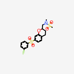 CN(CC1CCc2ccc(S(=O)(=O)c3cccc(F)c3)cc2O1)S(C)(=O)=O